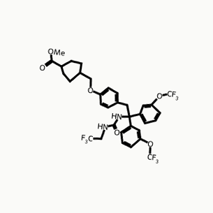 COC(=O)C1CCC(COc2ccc(CC(NC(=O)NCC(F)(F)F)(c3cccc(OC(F)(F)F)c3)c3cccc(OC(F)(F)F)c3)cc2)CC1